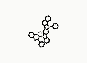 CN1c2ccccc2N=C(c2ccccc2)C1n1c2ccccc2c2cc3c(cc21)c1ccc2ccccc2c1n3-c1ccccc1